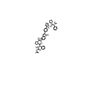 C=C(C)OC(=O)N[C@@H](C(=O)N1CCC[C@H]1C(=O)Nc1ccc2[nH]c(-c3ccc(-c4cnc([C@@H]5CCCN5C(=O)[C@@H](c5ccccc5)N(C)C)[nH]4)cc3)cc2c1)c1ccccc1